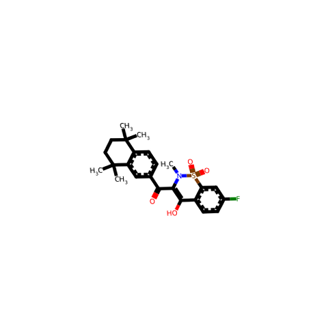 CN1C(C(=O)c2ccc3c(c2)C(C)(C)CCC3(C)C)=C(O)c2ccc(F)cc2S1(=O)=O